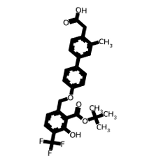 Cc1cc(-c2ccc(OCc3ccc(C(F)(F)F)c(O)c3C(=O)OC(C)(C)C)cc2)ccc1CC(=O)O